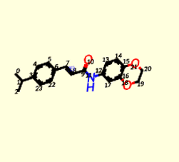 CC(C)c1ccc(/C=C/C(=O)Nc2ccc3c(c2)OCCO3)cc1